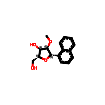 CO[C@@H]1[C@H](O)[C@@H](CO)O[C@H]1c1cccc2ccccc12